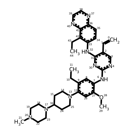 C=Cc1cnc(Nc2cc(CC)c(N3CCC(N4CCN(C)CC4)CC3)cc2OC)nc1Nc1ccc2nccnc2c1CC